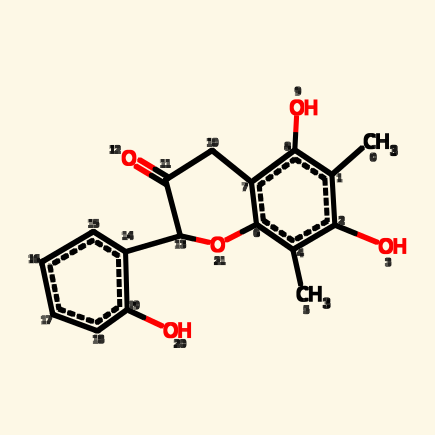 Cc1c(O)c(C)c2c(c1O)CC(=O)C(c1ccccc1O)O2